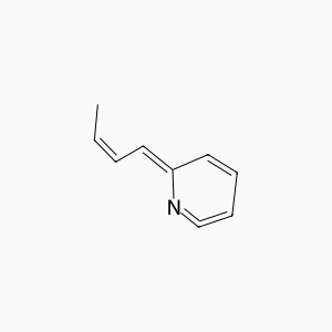 C/C=C\C=C1\C=CC=C=N1